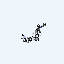 C=C/N=c1/cc(Oc2ccc(Nc3ncnc4cc5c(cc34)N3CCN(C(=O)/C=C/CN(C)C)C(CO5)C3)cc2C)ccn1C